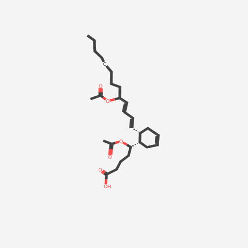 CCCCCCCCC(/C=C/C=C/[C@@H]1CC=CC[C@@H]1C(CCCC(=O)O)OC(C)=O)OC(C)=O